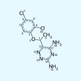 CC(Oc1ccc(Cl)cc1Cl)c1nnc(N)nc1N